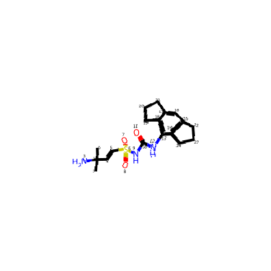 CC(C)(N)/C=C/S(=O)(=O)NC(=O)Nc1c2c(cc3c1CCC3)CCC2